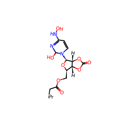 CC(C)CC(=O)OC[C@H]1O[C@@H](N2C=CC(NO)=NC2O)[C@@H]2OC(=O)O[C@@H]21